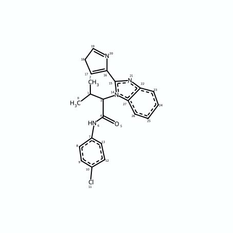 CC(C)C(C(=O)Nc1ccc(Cl)cc1)n1c(C2=CCC=N2)nc2ccccc21